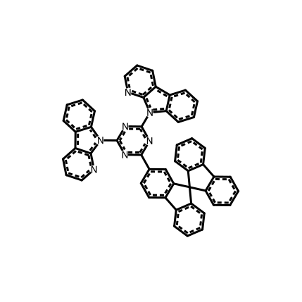 c1ccc2c(c1)-c1ccccc1C21c2ccccc2-c2ccc(-c3nc(-n4c5ccccc5c5cccnc54)nc(-n4c5ccccc5c5cccnc54)n3)cc21